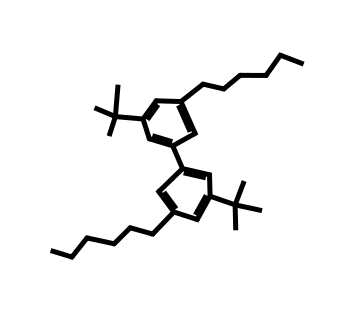 CCCCCCc1cc(-c2cc(CCCCCC)cc(C(C)(C)C)c2)cc(C(C)(C)C)c1